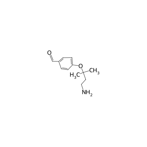 CC(C)(CCN)Oc1ccc(C=O)cc1